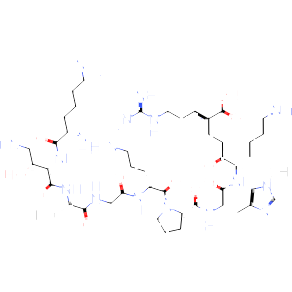 C[C@H](NC(=O)[C@@H](NC(=O)[C@@H](N)CCCCN)[C@@H](O)CN)C(=O)NCC(=O)N[C@H](CCCN)C(=O)N1CCC[C@H]1C(=O)N[C@@H](Cc1cn(C)cn1)C(=O)N[C@@H](CCCCN)C(=O)CC/C(=C\CCNC(=N)N)C(=O)O